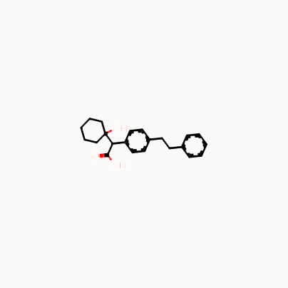 O=C(O)C(c1ccc(CCc2ccccc2)cc1)C1(O)CCCCC1